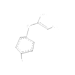 CSC(=C[N+](=O)[O-])Nc1ccc(C(C)C)cc1